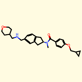 CN(C(=O)c1ccc(OCC2CC2)cc1)[C@@H]1Cc2ccc(CNCC3CCOCC3)cc2C1